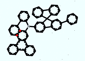 c1ccc(-c2ccc3c(c2)C2(c4ccccc4-c4ccccc42)c2cc(N(c4ccc5c6ccccc6c6ccccc6c5c4)c4ccccc4-c4ccccc4)ccc2-3)cc1